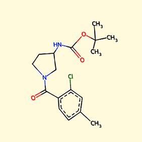 Cc1ccc(C(=O)N2CCC(NC(=O)OC(C)(C)C)C2)c(Cl)c1